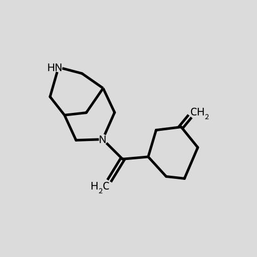 C=C1CCCC(C(=C)N2CC3CNCC(C3)C2)C1